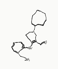 Nc1ccccc1NC1=C(C=O)CN(C2CCCCCCC2)CC1